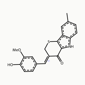 COc1cc(/C=C2\CSc3c([nH]c4ccc(C)cc34)C2=O)ccc1O